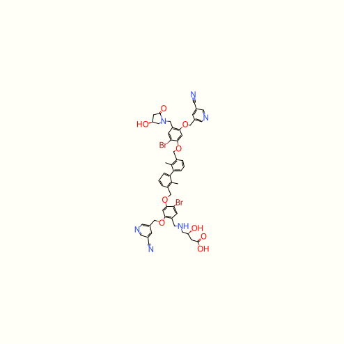 Cc1c(COc2cc(OCc3cncc(C#N)c3)c(CNC[C@@H](O)CC(=O)O)cc2Br)cccc1-c1cccc(COc2cc(OCc3cncc(C#N)c3)c(CN3C[C@@H](O)CC3=O)cc2Br)c1C